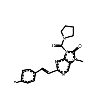 Cn1c(=O)n(C(=O)N2CCCC2)c2nc(C=Cc3ccc(F)cc3)ncc21